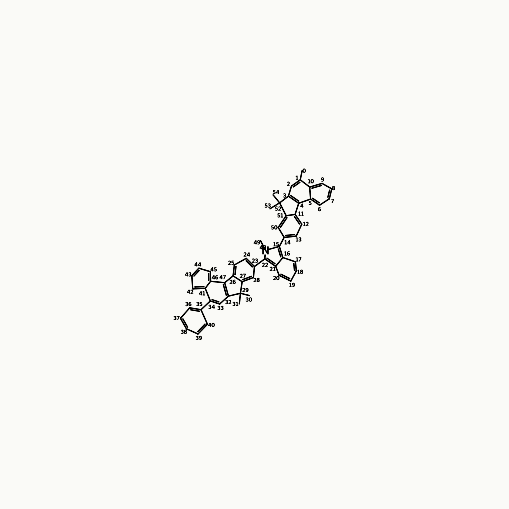 Cc1cc2c(c3ccccc13)-c1ccc(-c3c4ccccc4c(-c4ccc5c(c4)C(C)(C)c4cc(-c6ccccc6)c6ccccc6c4-5)n3C)cc1C2(C)C